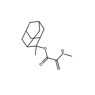 C=C(PC)C(=O)OC1(C)C2CC3CC(C2)CC1C3